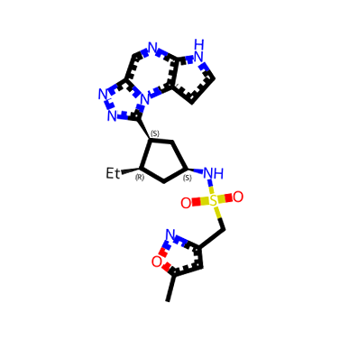 CC[C@@H]1C[C@H](NS(=O)(=O)Cc2cc(C)on2)C[C@@H]1c1nnc2cnc3[nH]ccc3n12